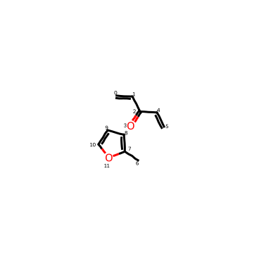 C=CC(=O)C=C.Cc1ccco1